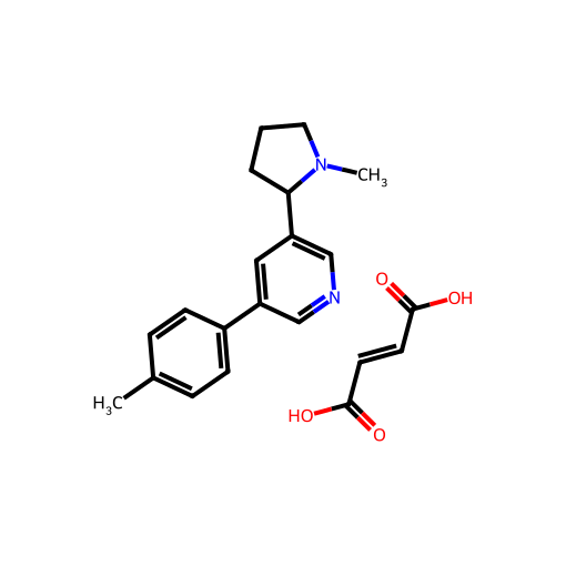 Cc1ccc(-c2cncc(C3CCCN3C)c2)cc1.O=C(O)/C=C/C(=O)O